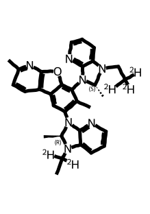 [2H]C([2H])([2H])CN1c2cccnc2N(c2c(C)c(N3c4ncccc4N(C([2H])([2H])C)[C@H]3C)cc3c2oc2nc(C)ccc23)[C@H]1C